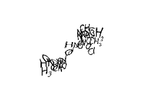 Cc1sc2c(c1C)C(c1ccc(Cl)cc1)=N[C@@H](CC(=O)NCCCOCCCNc1cccc3nc(C)n(C4CCC(=O)NC4=O)c(=O)c13)c1nnc(C)n1-2